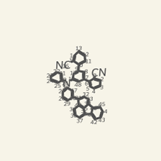 N#Cc1ccccc1-c1cc(-c2ccccc2C#N)cc(N(c2ccccc2)c2cccc(-c3ccc4c5c(cccc35)-c3ccccc3-4)c2)c1